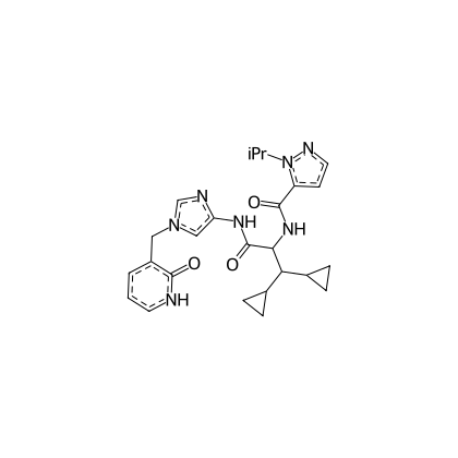 CC(C)n1nccc1C(=O)NC(C(=O)Nc1cn(Cc2ccc[nH]c2=O)cn1)C(C1CC1)C1CC1